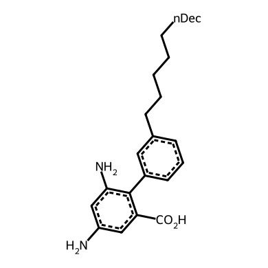 CCCCCCCCCCCCCCCc1cccc(-c2c(N)cc(N)cc2C(=O)O)c1